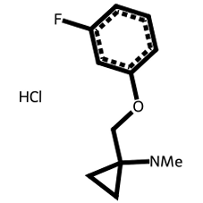 CNC1(COc2cccc(F)c2)CC1.Cl